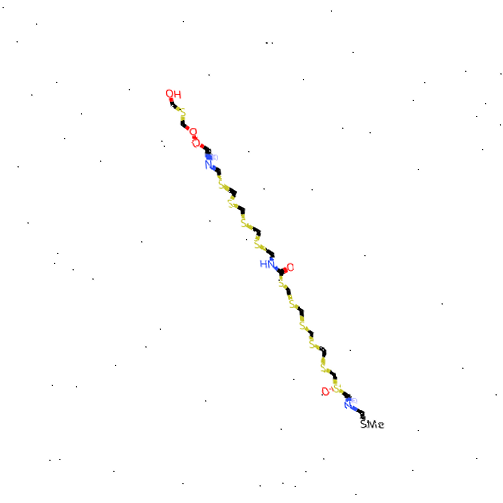 CSC/N=C/[S+]([O-])CSCSCSCSCSC(=O)NCSCSCSCSC/N=C/OOCSCO